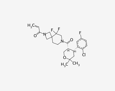 C=CC(=O)N1CC2(CCN(C(=O)[C@H]3COC(C)(C)C[C@H]3c3cc(F)ccc3Cl)CC2(F)F)C1